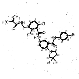 C=C(C)C(=O)NCc1ccc(Cl)c(C(=O)Nc2ccc(N3CCC(F)(F)C3)c(C(=O)Nc3ccc(Br)cc3)c2)c1Cl